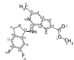 COC(=O)c1cc2cc(C)nc(N[C@@H]3CCc4cc(F)c(F)cc43)c2s1